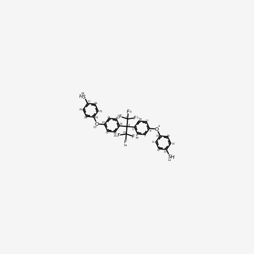 FC(F)(F)C(c1ccc(Oc2ccc(S)cc2)cc1)(c1ccc(Oc2ccc(S)cc2)cc1)C(F)(F)F